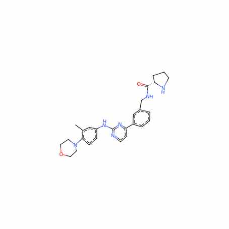 Cc1cc(Nc2nccc(-c3cccc(CNC(=O)[C@@H]4CCCN4)c3)n2)ccc1N1CCOCC1